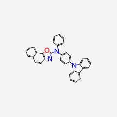 c1ccc(N(c2ccc(-n3c4ccccc4c4ccccc43)cc2)c2nc3ccc4ccccc4c3o2)cc1